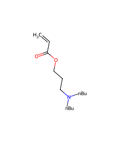 C=CC(=O)OCCCN(CCCC)CCCC